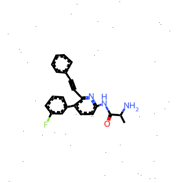 CC(N)C(=O)Nc1ccc(-c2cccc(F)c2)c(C#Cc2ccccc2)n1